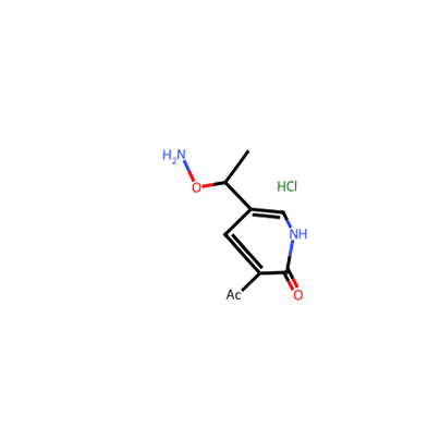 CC(=O)c1cc(C(C)ON)c[nH]c1=O.Cl